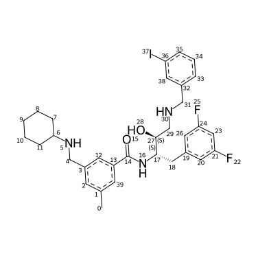 Cc1cc(CNC2CCCCC2)cc(C(=O)N[C@@H](Cc2cc(F)cc(F)c2)[C@@H](O)CNCc2cccc(I)c2)c1